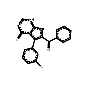 O=C(c1ccccc1)c1[nH]c2[nH]cnc(=O)c2c1-c1cccc(Br)n1